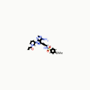 C=CC(=O)N1CCCC(n2nc(C#CCNS(=O)(=O)c3ccc(OC)cc3)c3c(N)ncnc32)C1